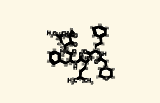 CC(C)CC[C@H](NC(=O)[C@H](CCc1ccccc1)NC(=O)CN1CCOCC1)C(=O)N[C@@H](Cc1ccccc1)C(=O)N[C@H](CC(C)C)C(=O)[C@@]1(C)CO1